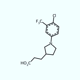 O=C(O)CCC1CCN(c2ccc(Cl)c(C(F)(F)F)c2)C1